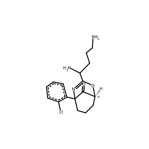 NCCCC(N)C1=NC2(c3ccccc3Cl)CCC[C@H](O1)C2=O